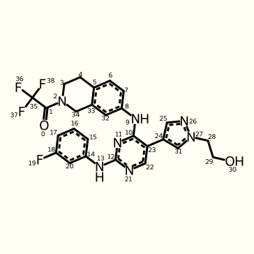 O=C(N1CCc2ccc(Nc3nc(Nc4cccc(F)c4)ncc3-c3cnn(CCO)c3)cc2C1)C(F)(F)F